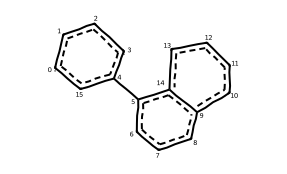 [c]1cc[c]c(-c2cccc3ccccc23)c1